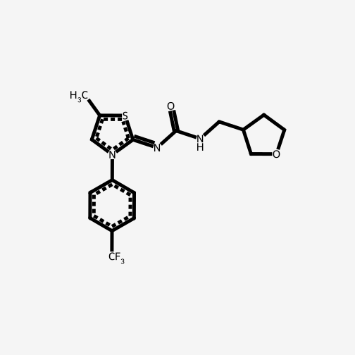 Cc1cn(-c2ccc(C(F)(F)F)cc2)c(=NC(=O)NCC2CCOC2)s1